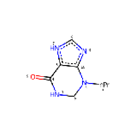 CCCN1CNC(=O)c2[nH]cnc21